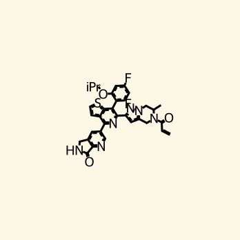 C=CC(=O)N1Cc2cc(-c3nc(-c4cnc5c(c4)CNC5=O)c4ccsc4c3-c3c(F)cc(F)cc3OC(C)C)nn2CC1C